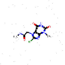 CNC(=O)Cn1c(Br)nc2c1c(=O)[nH]c(=O)n2C